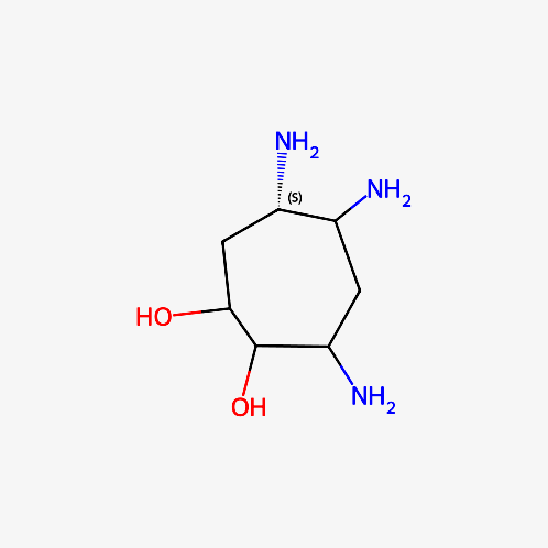 NC1CC(N)[C@@H](N)CC(O)C1O